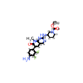 Cn1c(=O)c(-c2ccc(N)c(F)c2F)cc2cnc(NC3CCCN(C(=O)OC(C)(C)C)C3)nc21